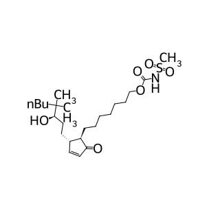 CCCCC(C)(C)[C@H](O)CC[C@H]1C=CC(=O)[C@@H]1CCCCCCCOC(=O)NS(C)(=O)=O